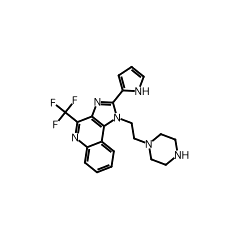 FC(F)(F)c1nc2ccccc2c2c1nc(-c1ccc[nH]1)n2CCN1CCNCC1